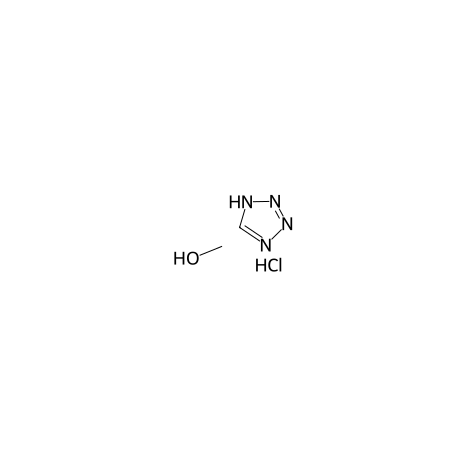 CO.Cl.c1nnn[nH]1